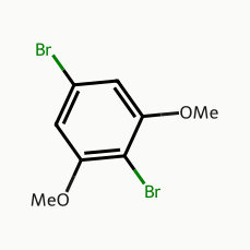 COc1cc(Br)cc(OC)c1Br